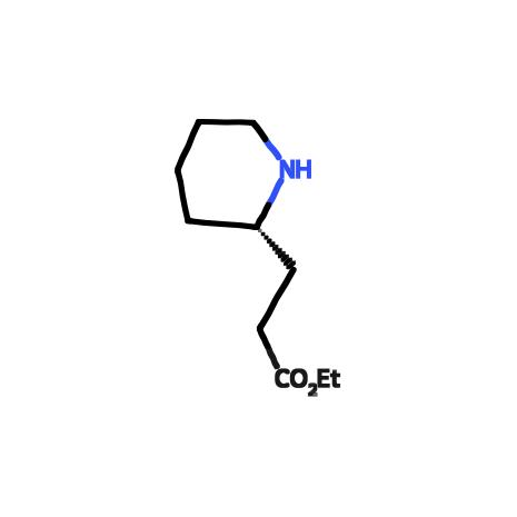 CCOC(=O)CC[C@@H]1CCCCN1